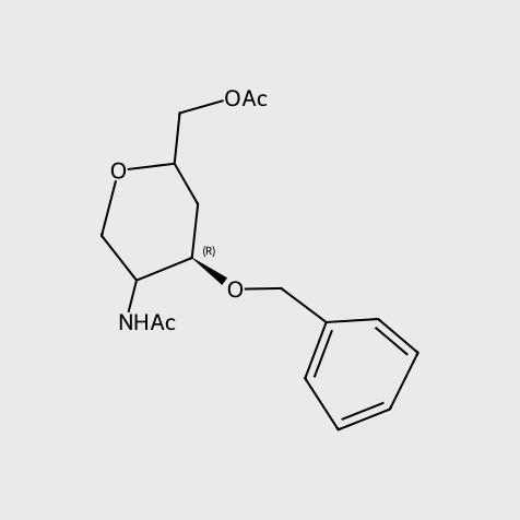 CC(=O)NC1COC(COC(C)=O)C[C@H]1OCc1ccccc1